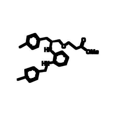 COC(=O)CCOC[C@H](Cc1ccc(C)cc1)Nc1ccccc1NCc1ccc(C)cc1